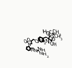 CC(C)(C)OC(=O)C(N)(Cc1ccc(OCC2CN(c3ccccc3CNC(=N)N)C(=O)O2)cc1)C(=O)O